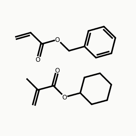 C=C(C)C(=O)OC1CCCCC1.C=CC(=O)OCc1ccccc1